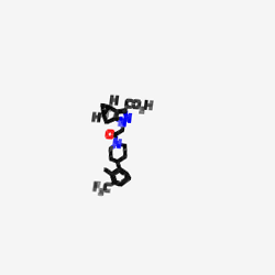 Cc1c(C2CCN(C(=O)Cn3nc(C(=O)O)c4c3C[C@H]3C[C@@H]43)CC2)cccc1C(F)(F)F